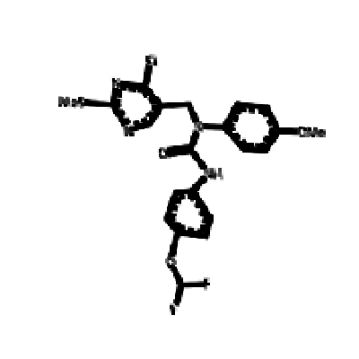 COc1ccc(N(Cc2cnc(SC)nc2Cl)C(=O)Nc2ccc(OC(F)F)cc2)cc1